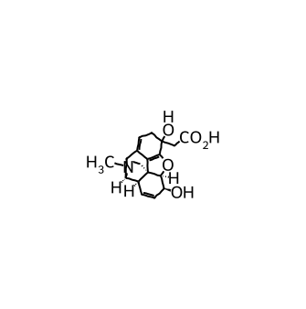 CN1CC[C@]23C4=C5O[C@H]2[C@@H](O)C=C[C@H]3[C@H]1CC4=CCC5(O)CC(=O)O